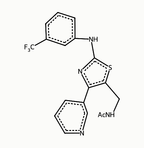 CC(=O)NCc1sc(Nc2cccc(C(F)(F)F)c2)nc1-c1cccnc1